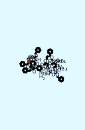 C=CCO[C@H]1[C@H](O[C@@H]2[C@@H](O)[C@H](N)C[C@H](NC(=O)OCc3ccccc3)[C@H]2O[C@H]2O[C@@H]3COC(c4ccccc4)O[C@H]3[C@H](O[Si](C)(C)C(C)(C)C)[C@H]2NC(=O)OCc2ccccc2)O[C@H](CO[Si](C)(C)C(C)(C)C)[C@H]1O[C@H]1O[C@@H](CNC(=O)OCc2ccccc2)[C@@H](O[Si](C)(C)C(C)(C)C)[C@H](O[Si](C)(C)C(C)(C)C)[C@H]1NC(=O)OCc1ccccc1